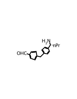 CCC[C@@H](N)c1ccc(Cc2ccc(C=O)cc2)cc1